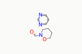 O=CN1CCCCO1.c1cncnc1